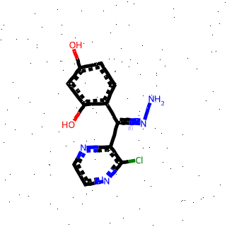 N/N=C(\c1ccc(O)cc1O)c1nccnc1Cl